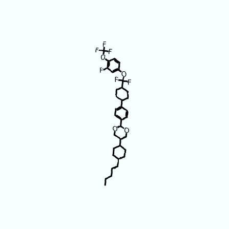 CCCCCC1CCC(C2COC(c3ccc(C4CCC(C(F)(F)Oc5ccc(OC(F)(F)F)c(F)c5)CC4)cc3)OC2)CC1